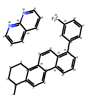 CC1CCCc2c1ccc1c2ccc2c(-c3cccc(C(F)(F)F)c3)cccc21.c1cnc2ncccc2c1